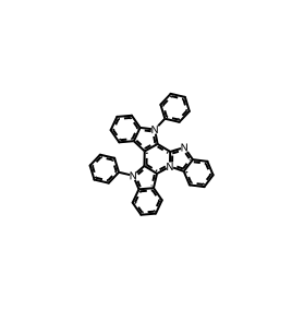 c1ccc(-n2c3ccccc3c3c2c2nc4ccccc4n2c2c4ccccc4n(-c4ccccc4)c32)cc1